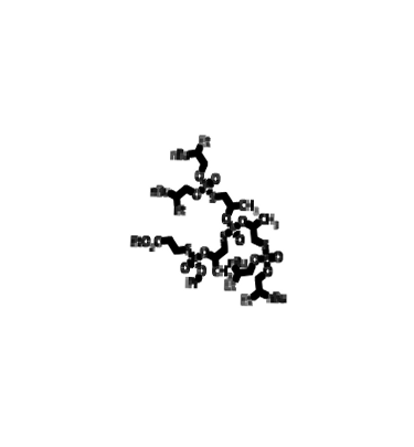 CCCCC(CC)COP(=O)(OCC(CC)CCCC)SCC(C)OP(=O)(OC(C)CSP(=O)(OCC(CC)CCCC)OCC(CC)CCCC)SCC(C)OP(=O)(OC(C)C)SCCC(=O)OCC